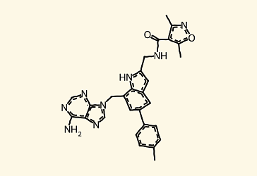 Cc1ccc(-c2cc(Cn3cnc4c(N)ncnc43)c3[nH]c(CNC(=O)c4c(C)noc4C)cc3c2)cc1